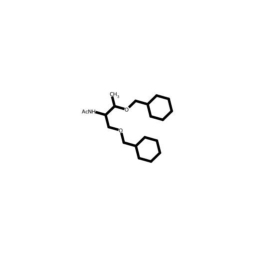 CC(=O)NC(COCC1CCCCC1)C(C)OCC1CCCCC1